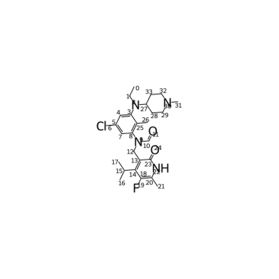 CCN(c1cc(Cl)cc(N(C=O)Cc2c(C(C)C)c(F)c(C)[nH]c2=O)c1C)C1CCN(C)CC1